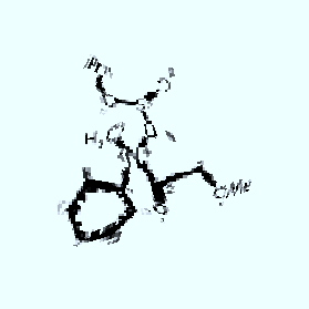 COCC(=O)[N+](C)(OS(=O)OC(C)C)c1ccccc1